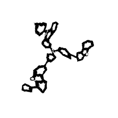 c1ccc(-c2cccc3c2oc2ccc(-c4ccc(N(c5ccc(-c6ccc7oc8ccccc8c7c6)cc5)c5ccc6c(c5)c5ccccc5n6-c5ccccc5)cc4)cc23)cc1